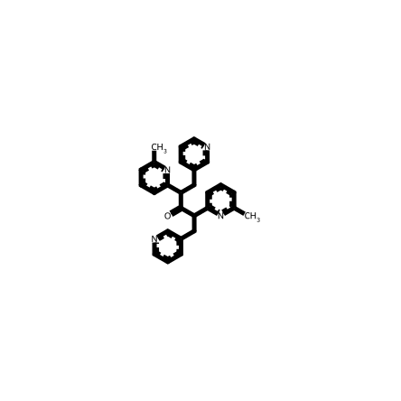 Cc1cccc(C(Cc2cccnc2)C(=O)C(Cc2cccnc2)c2cccc(C)n2)n1